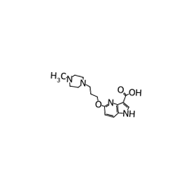 CN1CCN(CCCOc2ccc3[nH]cc(C(=O)O)c3n2)CC1